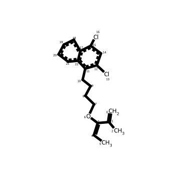 C=C(C)C(=CC)OCCCCc1c(Cl)cc(Cl)c2ccccc12